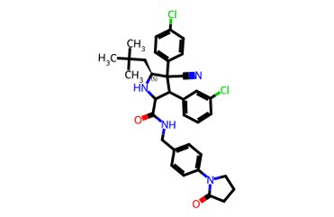 CC(C)(C)C[C@@H]1NC(C(=O)NCc2ccc(N3CCCC3=O)cc2)C(c2cccc(Cl)c2)C1(C#N)c1ccc(Cl)cc1